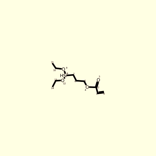 C=CC(=O)OCCC[SiH](OCC)OCC